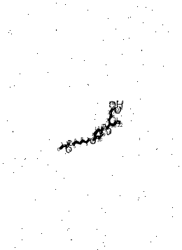 C=CC(=O)OCCCCCCOc1ccc(OC(=O)C(CCC)CCCC(=O)O)cc1